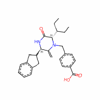 C=C1[C@@H](C2Cc3ccccc3C2)NC(=O)[C@H](C(CC)CC)N1Cc1ccc(C(=O)O)cc1